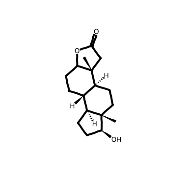 C[C@]12CC[C@H]3[C@@H](CCC4OC(=O)C[C@@]43C)[C@@H]1CC[C@@H]2O